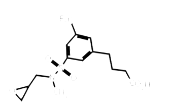 CN(CC1CO1)S(=O)(=O)c1cc(CCCC(=O)O)cc(C(F)(F)F)c1